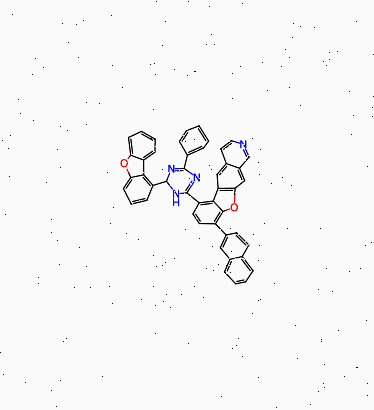 c1ccc(C2=NC(c3cccc4oc5ccccc5c34)NC(c3ccc(-c4ccc5ccccc5c4)c4oc5cc6cnccc6cc5c34)=N2)cc1